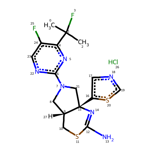 CC(C)(F)c1nc(N2C[C@H]3CSC(N)=N[C@@]3(c3cncs3)C2)ncc1F.Cl